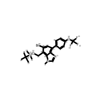 Cn1cnc2c(-c3ccc(OC(F)(F)F)cc3)cc(Br)c(CO[Si](C)(C)C(C)(C)C)c21